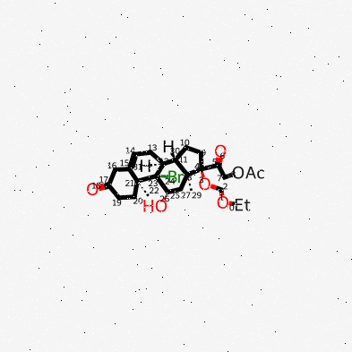 CCOCO[C@]1(C(=O)COC(C)=O)CC[C@H]2[C@@H]3CC=C4CC(=O)CC[C@]4(C)[C@@]3(Br)[C@@H](O)C[C@@]21C